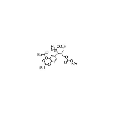 CCCOC(=O)OCC(C)C(c1ccc(OC(=O)C(C)CC)c(OC(=O)C(C)CC)c1)[C@H](N)C(=O)O